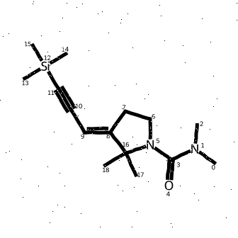 CN(C)C(=O)N1CC/C(=C\C#C[Si](C)(C)C)C1(C)C